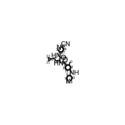 Cc1cc(Nc2ccncc2)ccc1C(=O)NC(CCC1CC1)C(=O)Nc1ccc(C#N)nc1